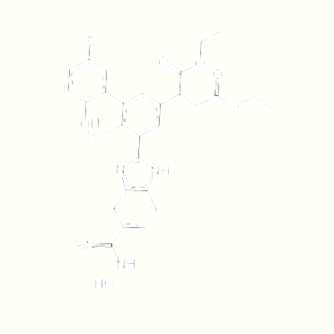 CCOC(=O)CC(C(=O)OCC)c1cc(-c2nc3cc(C(=N)NO)ccc3[nH]2)c(O)c(-c2cc(F)ccc2O)c1